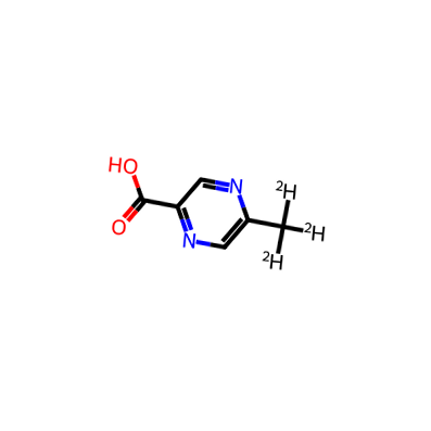 [2H]C([2H])([2H])c1cnc(C(=O)O)cn1